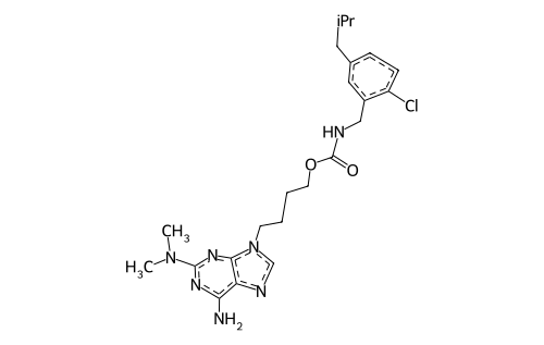 CC(C)Cc1ccc(Cl)c(CNC(=O)OCCCCn2cnc3c(N)nc(N(C)C)nc32)c1